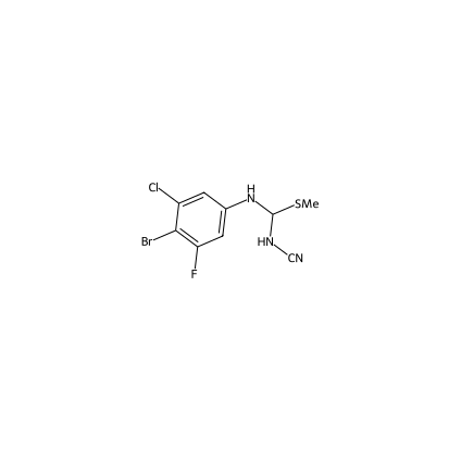 CSC(NC#N)Nc1cc(F)c(Br)c(Cl)c1